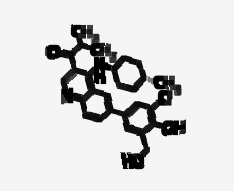 CC(C)C(=O)c1cnc2ccc(-c3cc(Cl)c(O)c(CO)c3)cc2c1N[C@H]1CC[C@H](C)CC1